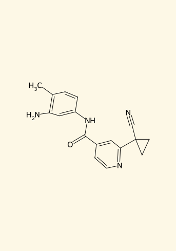 Cc1ccc(NC(=O)c2ccnc(C3(C#N)CC3)c2)cc1N